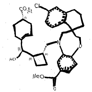 CCOC(=O)[C@@H]1CC=C([C@H](O)[C@@H]2CC[C@H]2CN2CC3(CCCc4cc(Cl)ccc43)COc3ccc(C(=O)OC)cc32)CC1